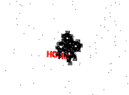 C=C/C(=C\C(C)=C(/C)O)C1(C(/C=C(/C)C(=C)O)=C/C)c2ccccc2-c2ccccc21